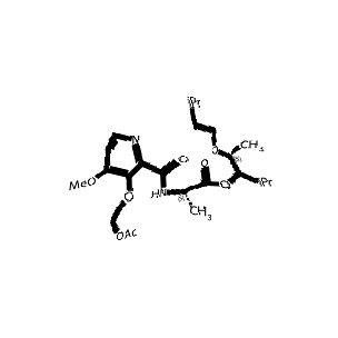 COc1ccnc(C(=O)N[C@@H](C)C(=O)OC(C(C)C)[C@H](C)OCCC(C)C)c1OCOC(C)=O